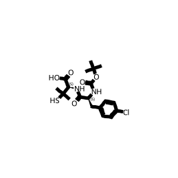 CC(C)(C)OC(=O)N[C@@H](Cc1ccc(Cl)cc1)C(=O)N[C@@H](C(=O)O)C(C)(C)S